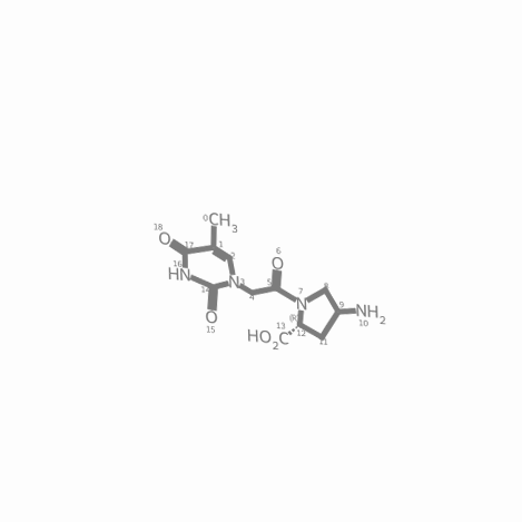 Cc1cn(CC(=O)N2CC(N)C[C@@H]2C(=O)O)c(=O)[nH]c1=O